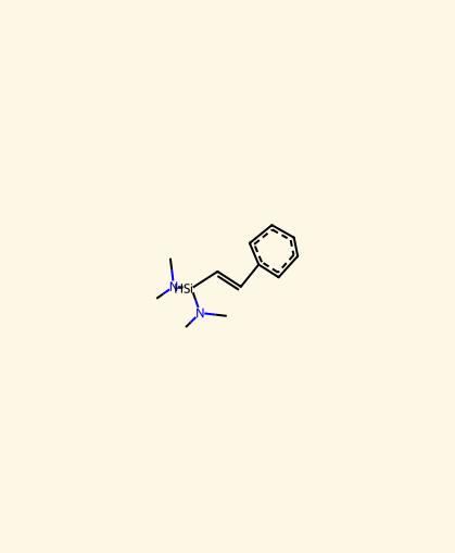 CN(C)[SiH](C=Cc1ccccc1)N(C)C